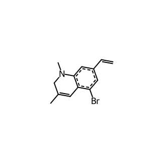 C=Cc1cc(Br)c2c(c1)N(C)CC(C)=C2